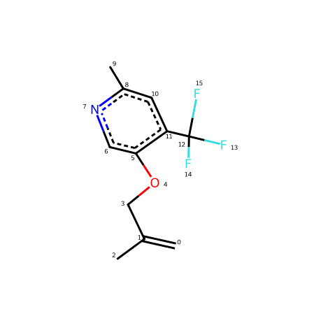 C=C(C)COc1cnc(C)cc1C(F)(F)F